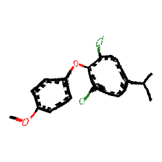 COc1ccc(Oc2c(Cl)cc(C(C)C)cc2Cl)cc1